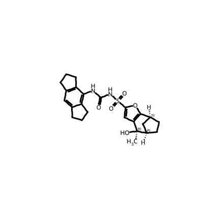 C[C@]1(O)c2cc(S(=O)(=O)NC(=O)Nc3c4c(cc5c3CCC5)CCC4)oc2[C@H]2CC[C@@H]1C2